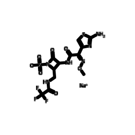 CON=C(C(=O)NC1C(=O)N(S(=O)(=O)[O-])C1CNC(=O)C(F)(F)F)c1csc(N)n1.[Na+]